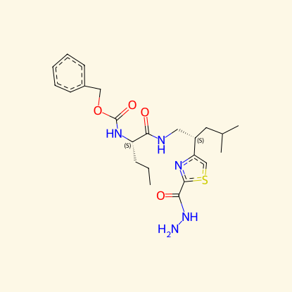 CCC[C@H](NC(=O)OCc1ccccc1)C(=O)NC[C@H](CC(C)C)c1csc(C(=O)NN)n1